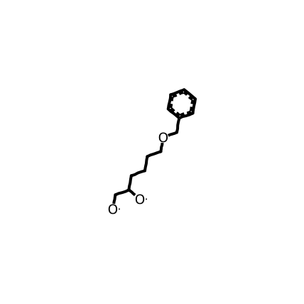 [O]CC([O])CCCCOCc1ccccc1